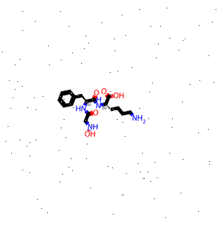 NCCCC[C@H](NC(=O)[C@H](Cc1ccccc1)NC(=O)CNO)C(=O)O